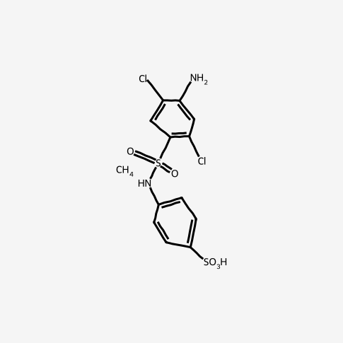 C.Nc1cc(Cl)c(S(=O)(=O)Nc2ccc(S(=O)(=O)O)cc2)cc1Cl